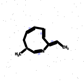 C/C=C1/C=C/C=C\CN(C)\C=N/1